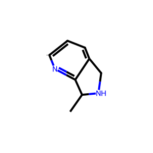 CC1NCc2cc[c]nc21